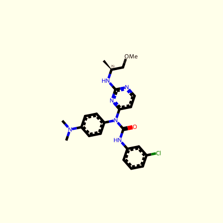 COC[C@H](C)Nc1nccc(N(C(=O)Nc2cccc(Cl)c2)c2ccc(N(C)C)cc2)n1